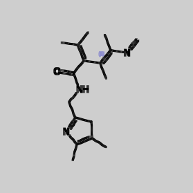 C=N/C(C)=C(\C)C(C(=O)NCC1=NC(C)=C(C)C1)=C(C)C